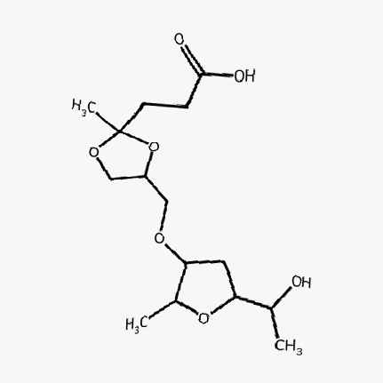 CC(O)C1CC(OCC2COC(C)(CCC(=O)O)O2)C(C)O1